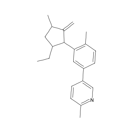 C=C1C(C)CC(CC)C1c1cc(-c2ccc(C)nc2)ccc1C